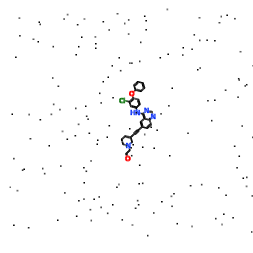 O=CCN1CCC=C(C#Cc2ccc3ncnc(Nc4ccc(Oc5ccccc5)c(Cl)c4)c3c2)C1